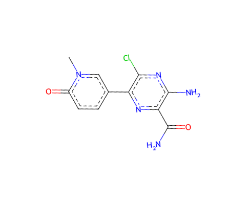 Cn1cc(-c2nc(C(N)=O)c(N)nc2Cl)ccc1=O